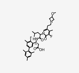 COC1CN(CCc2cn(C(CC(C)C)C(=O)N[C@@H](CC(=O)O)c3cc(-c4c(C)cc(C)cc4C)cc(C)c3F)c(=O)c(F)c2C)C1